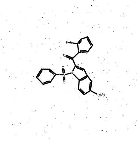 COc1ccc2c(c1)cc(C(=O)c1ccccc1F)n2S(=O)(=O)c1ccccc1